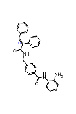 Nc1ccccc1NC(=O)c1ccc(CNC(=O)/C(=C/c2ccccc2)c2ccccc2)cc1